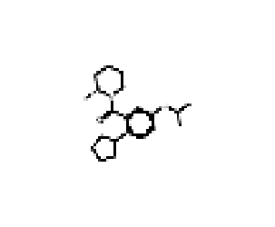 CC(C)Oc1ccc(C2CCCC2)c(C(=O)N2CCCC[C@@H]2C)c1